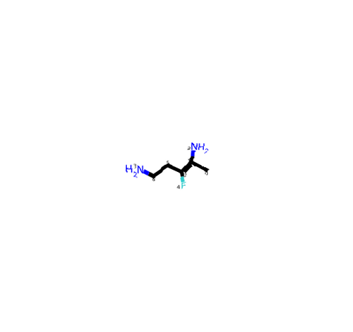 C/C(N)=C(\F)CCN